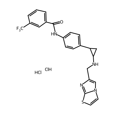 Cl.Cl.O=C(Nc1ccc(C2CC2NCc2cn3ccsc3n2)cc1)c1cccc(C(F)(F)F)c1